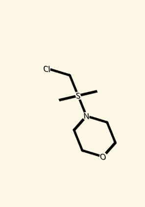 CS(C)(CCl)N1CCOCC1